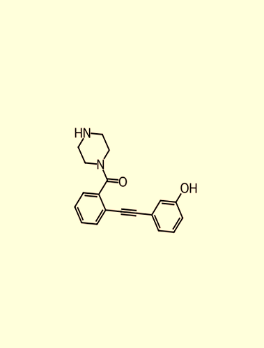 O=C(c1ccccc1C#Cc1cccc(O)c1)N1CCNCC1